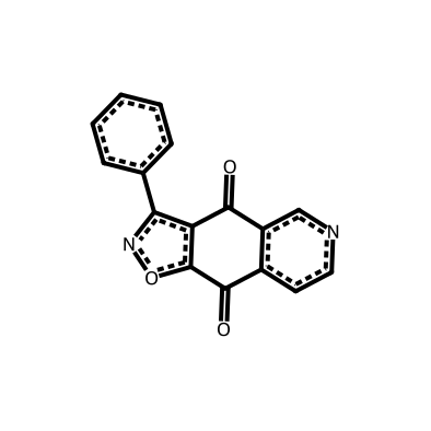 O=C1c2ccncc2C(=O)c2c(-c3ccccc3)noc21